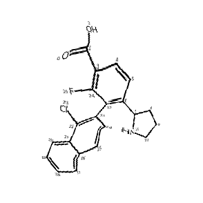 O=C(O)c1ccc(C2CCCN2)c(-c2ccc3ccccc3c2Cl)c1F